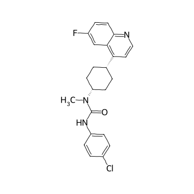 CN(C(=O)Nc1ccc(Cl)cc1)[C@H]1CC[C@@H](c2ccnc3ccc(F)cc32)CC1